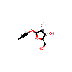 CC#COC1O[C@H](CO)[C@@H](O)[C@H]1O